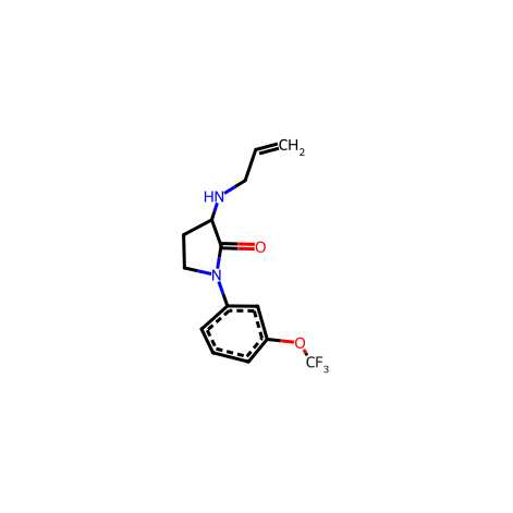 C=CCNC1CCN(c2cccc(OC(F)(F)F)c2)C1=O